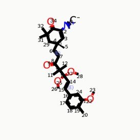 [C-]#[N+]C1=C[C@](C)(/C=C/C(=O)C(C)(C)C(/C=C/c2ccc(C)c(OC)c2)(OC)OC)CC(C)(C)C1=O